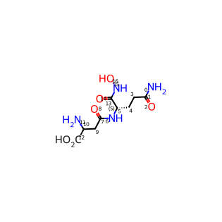 NC(=O)CC[C@H](NC(=O)CC(N)C(=O)O)C(=O)NO